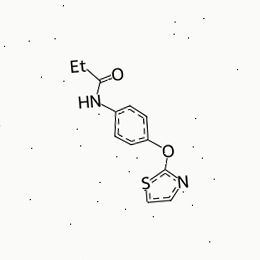 CCC(=O)Nc1ccc(Oc2nccs2)cc1